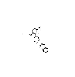 Cc1cc(NC2CCC(c3nc(C(F)(F)F)ccc3C(N)=O)CC2)nc2ccccc12.Cl